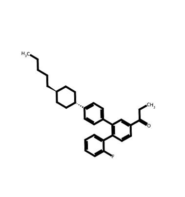 CCCCC[C@H]1CC[C@H](c2ccc(-c3cc(C(=O)CC)ccc3-c3ccccc3F)cc2)CC1